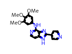 COc1cc(Nc2nccc3[nH]c(-c4ccncc4)nc23)cc(OC)c1OC